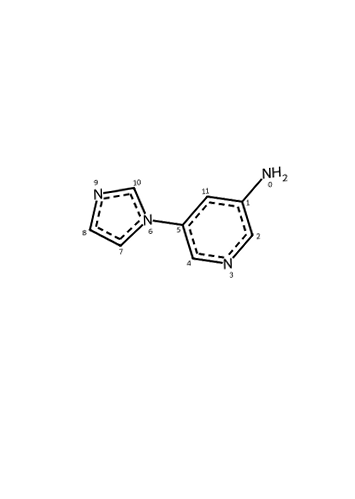 Nc1cncc(-n2ccnc2)c1